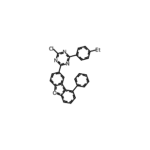 CCc1ccc(-c2nc(Cl)nc(-c3ccc4oc5cccc(-c6ccccc6)c5c4c3)n2)cc1